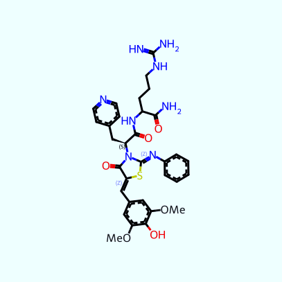 COc1cc(/C=C2\S/C(=N\c3ccccc3)N([C@@H](Cc3ccncc3)C(=O)NC(CCCNC(=N)N)C(N)=O)C2=O)cc(OC)c1O